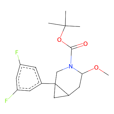 COC1CC2CC2(c2cc(F)cc(F)c2)CN1C(=O)OC(C)(C)C